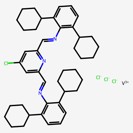 Clc1cc(C=Nc2c(C3CCCCC3)cccc2C2CCCCC2)nc(C=Nc2c(C3CCCCC3)cccc2C2CCCCC2)c1.[Cl-].[Cl-].[Cl-].[V+3]